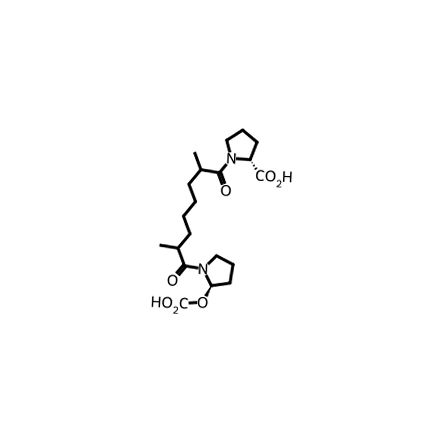 CC(CCCCC(C)C(=O)N1CCC[C@H]1OC(=O)O)C(=O)N1CCC[C@@H]1C(=O)O